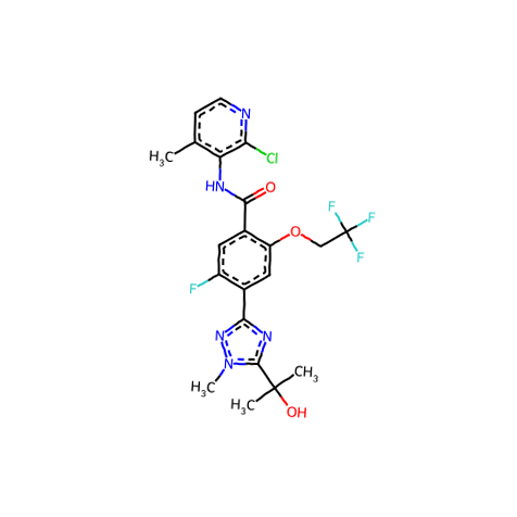 Cc1ccnc(Cl)c1NC(=O)c1cc(F)c(-c2nc(C(C)(C)O)n(C)n2)cc1OCC(F)(F)F